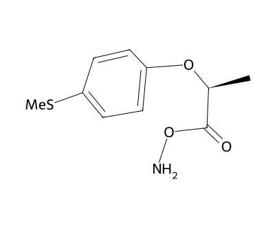 CSc1ccc(O[C@@H](C)C(=O)ON)cc1